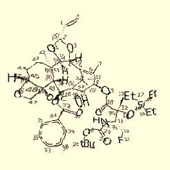 C=C[C@@H]1O[C@@H]2C3=C(C)[C@@H](OC(=O)[C@](C)(O[Si](CC)(CC)CC)[C@H](CF)NC(=O)OC(C)(C)C)C[C@@](O)([C@@H](OC(=O)c4ccccc4)[C@H]4[C@@](C)(CC[C@H]5OC[C@]54OC(C)=O)[C@@H]2O1)C3(C)C